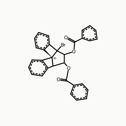 O=C(OC1C(OC(=O)c2ccccc2)C2(Br)c3ccccc3[C@@]23c2ccccc2C13)c1ccccc1